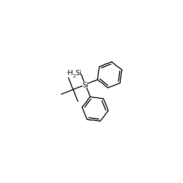 CC(C)(C)[Si]([SiH2])(c1ccccc1)c1ccccc1